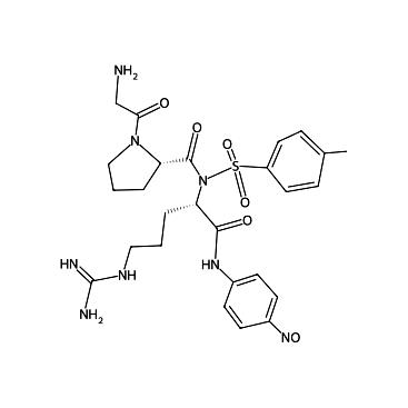 Cc1ccc(S(=O)(=O)N(C(=O)[C@@H]2CCCN2C(=O)CN)[C@@H](CCCNC(=N)N)C(=O)Nc2ccc(N=O)cc2)cc1